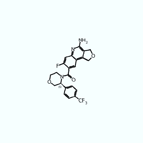 Nc1nc2cc(F)c(C(=O)N3CCOC[C@@H]3c3ccc(C(F)(F)F)cc3)cc2c2c1COC2